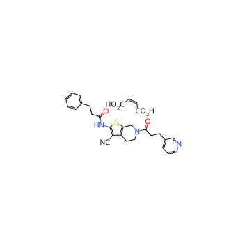 N#Cc1c(NC(=O)CCc2ccccc2)sc2c1CCN(C(=O)CCc1cccnc1)C2.O=C(O)/C=C\C(=O)O